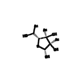 CC(=O)C(O)[C@H]1O[C@@H](O)[C@@](O)(C(C)=O)[C@@]1(O)C(C)=O